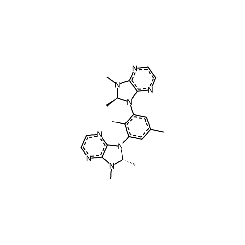 Cc1cc(N2c3nccnc3N(C)[C@H]2C)c(C)c(N2c3nccnc3N(C)[C@@H]2C)c1